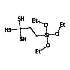 CCO[Si](CCC(S)(S)S)(OCC)OCC